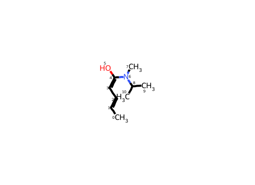 C/C=C/C=C(/O)N(C)C(C)C